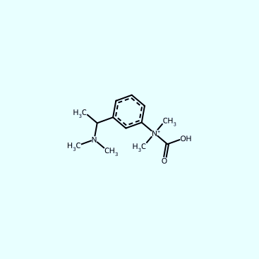 CC(c1cccc([N+](C)(C)C(=O)O)c1)N(C)C